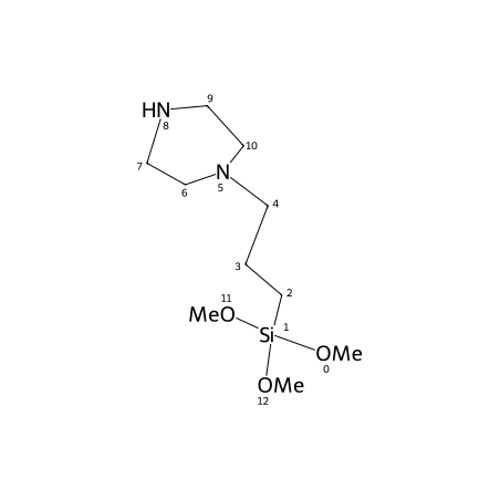 CO[Si](CCCN1CCNCC1)(OC)OC